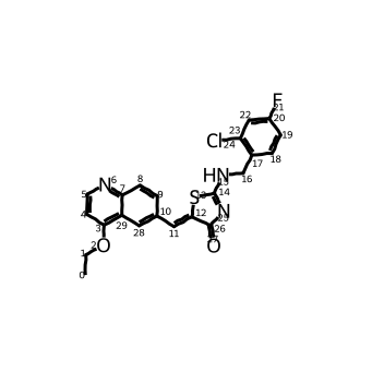 CCOc1ccnc2ccc(/C=C3\SC(NCc4ccc(F)cc4Cl)=NC3=O)cc12